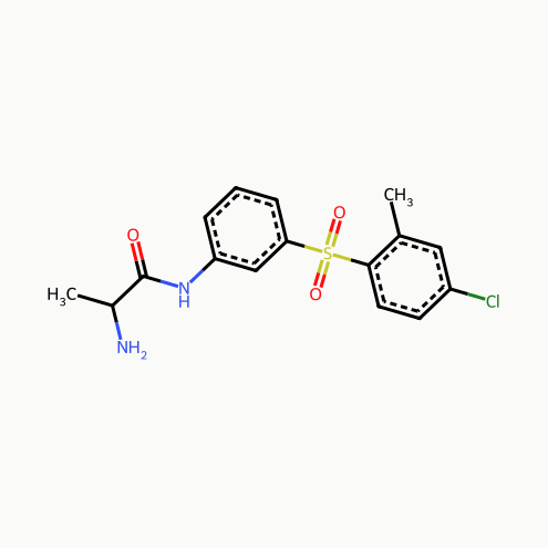 Cc1cc(Cl)ccc1S(=O)(=O)c1cccc(NC(=O)C(C)N)c1